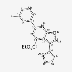 CCOC(=O)c1cc(-c2cncc(C)c2)nc2onc(-c3cccs3)c12